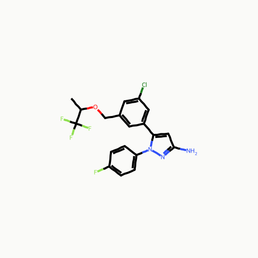 CC(OCc1cc(Cl)cc(-c2cc(N)nn2-c2ccc(F)cc2)c1)C(F)(F)F